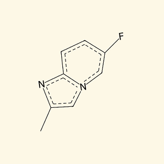 Cc1cn2cc(F)ccc2n1